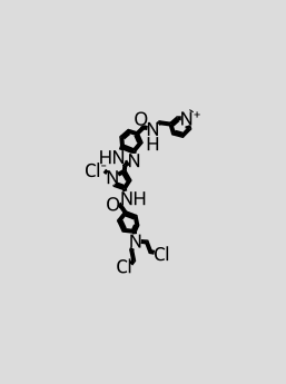 Cn1cc(NC(=O)c2ccc(N(CCCl)CCCl)cc2)cc1-c1nc2cc(C(=O)NCc3ccc[n+](C)c3)ccc2[nH]1.[Cl-]